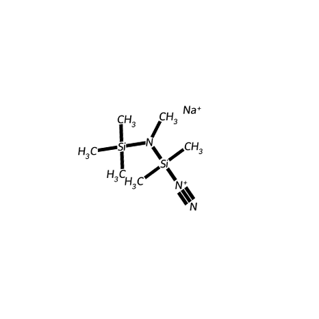 CN([Si](C)(C)C)[Si](C)(C)[N+]#N.[Na+]